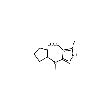 CCOC(=O)c1c(N(C)C2CCCC2)n[nH]c1C